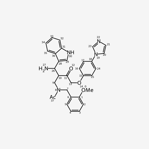 COc1ccccc1CN(CC(C(=O)COc1ccc(-n2ccnc2)cc1)C(N)c1c[nH]c2ccccc12)C(C)=O